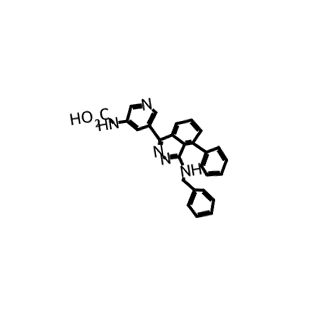 O=C(O)Nc1cncc(-c2nnc(NCc3ccccc3)c3c(-c4ccccc4)cccc23)c1